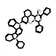 CN1C(c2ccccc2)=NC(c2ccccc2)N(C)C1C1CCCC2CC(n3c4ccccc4c4c5c(ccc43)N(C3=CCCCC3)C3CCC=CC53)=CCC21